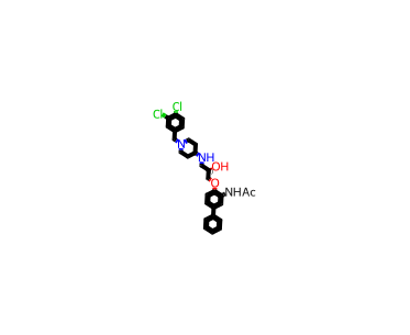 CC(=O)Nc1cc(-c2ccccc2)ccc1OC[C@H](O)CNC1CCN(Cc2ccc(Cl)c(Cl)c2)CC1